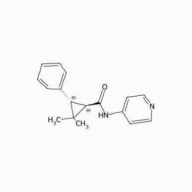 CC1(C)[C@H](C(=O)Nc2ccncc2)[C@H]1c1ccccc1